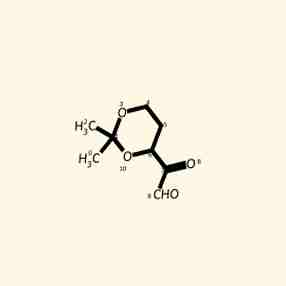 CC1(C)OCCC(C(=O)C=O)O1